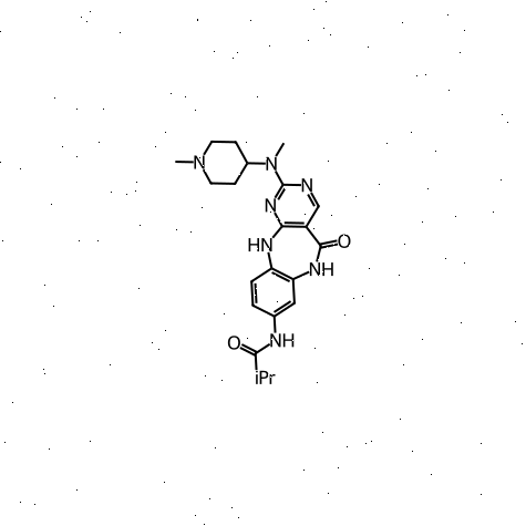 CC(C)C(=O)Nc1ccc2c(c1)NC(=O)c1cnc(N(C)C3CCN(C)CC3)nc1N2